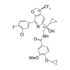 COc1cc(C(=O)NC[C@](O)(c2cc3c(c(-c4ccc(F)c(Cl)c4)n2)OC[C@H]3C(F)(F)F)C2CC2)ccc1OC1CC1